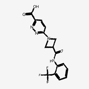 O=C(O)c1ccc(N2CC(C(=O)Nc3ccccc3C(F)(F)F)C2)nn1